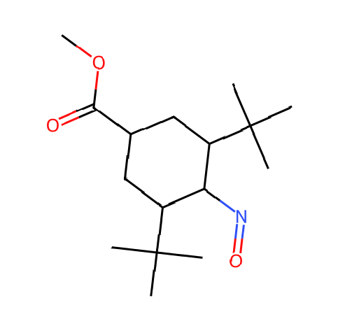 COC(=O)C1CC(C(C)(C)C)C(N=O)C(C(C)(C)C)C1